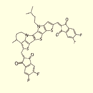 CC(C)CCn1c2cc(C=C3C(=O)c4cc(F)c(F)cc4C3=O)sc2c2sc3c4sc(C=C5C(=O)c6cc(F)c(F)cc6C5=O)c5c4n(c3c21)CCC5C